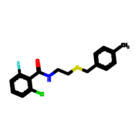 Cc1ccc(CSCCNC(=O)c2c(F)cccc2Cl)cc1